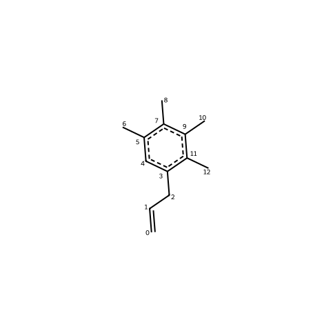 C=CCc1cc(C)c(C)c(C)c1C